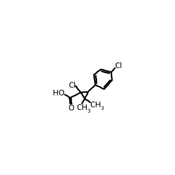 CC1(C)C(c2ccc(Cl)cc2)C1(Cl)C(=O)O